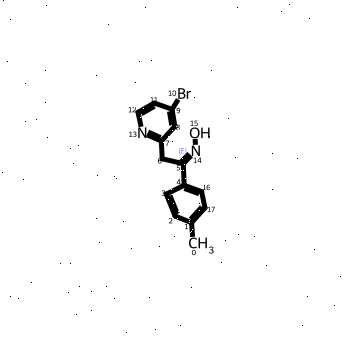 Cc1ccc(/C(Cc2cc(Br)ccn2)=N/O)cc1